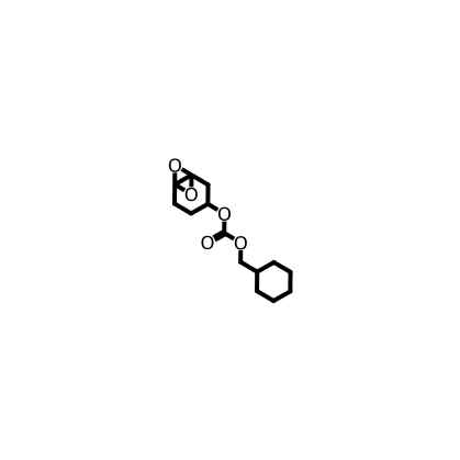 O=C(OCC1CCCCC1)OC1CCC23OC2(C1)O3